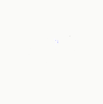 Cc1cc(C)cc(-c2c3ccccc3c(-c3cccc4ccccc34)c3ncccc23)c1